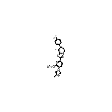 COc1nc(-c2nc3n(n2)CC[C@H](c2ccc(C(F)(F)F)cc2)[C@H]3C)ccc1-n1cnc(C)c1